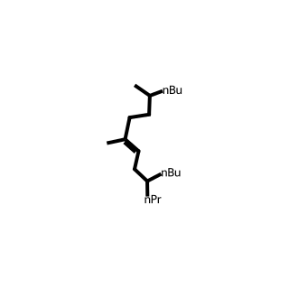 CCCCC(C)CCC(C)=CCC(CCC)CCCC